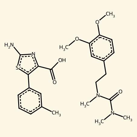 COc1ccc(CCN(C)C(=O)N(C)C)cc1OC.Cc1cccc(-c2sc(N)nc2C(=O)O)c1